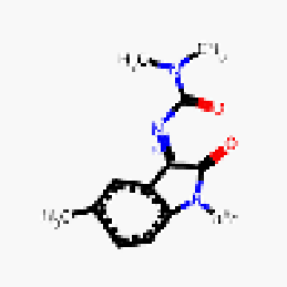 CCCN1C(=O)/C(=N\C(=O)N(C)C)c2cc(C)ccc21